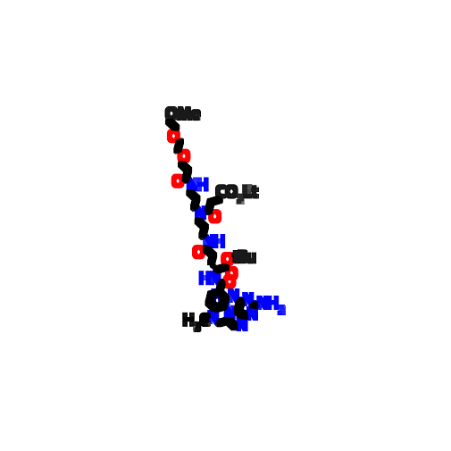 CCOC(=O)CCC(=O)N(CCCNC(=O)CCOCCOCCOC)CCCNC(=O)CC[C@@H](NC(=O)c1ccc(N(C)Cc2cnc3nc(N)nc(N)c3n2)cc1)C(=O)OC(C)(C)C